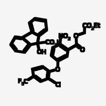 CCOC(=O)COC(=O)c1cc(Oc2ccc(C(F)(F)F)cc2Cl)ccc1[N+](=O)[O-].O=C(O)C1(O)c2ccccc2-c2ccccc21